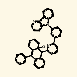 CC12C=CC=CC1=C(c1ccccc1)c1ccccc1C2c1cccc(-c2cccc(-n3c4ccccc4c4ncccc43)n2)n1